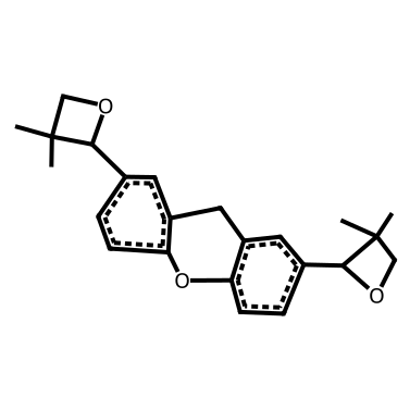 CC1(C)COC1c1ccc2c(c1)Cc1cc(C3OCC3(C)C)ccc1O2